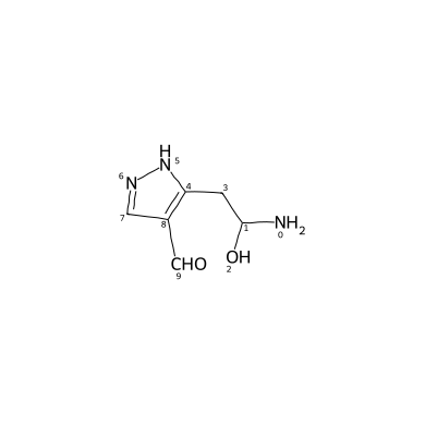 NC(O)Cc1[nH]ncc1C=O